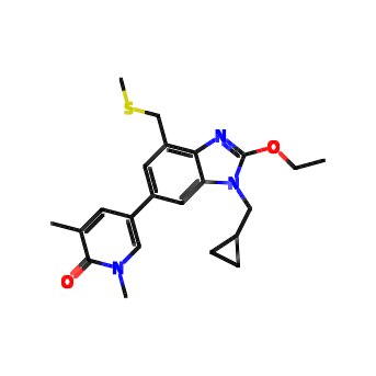 CCOc1nc2c(CSC)cc(-c3cc(C)c(=O)n(C)c3)cc2n1CC1CC1